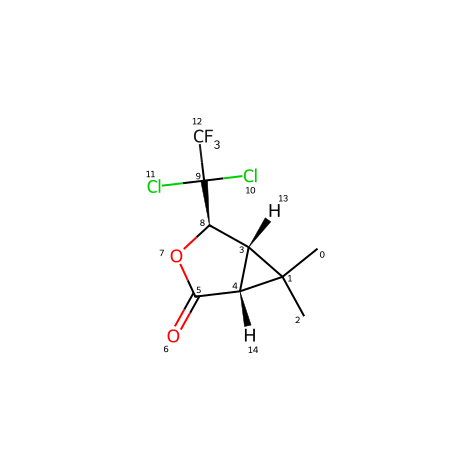 CC1(C)[C@@H]2[C@H]1C(=O)O[C@H]2C(Cl)(Cl)C(F)(F)F